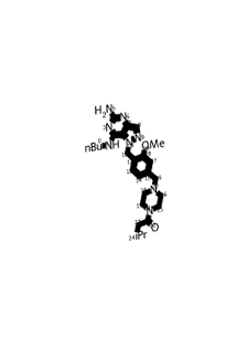 CCCCNc1nc(N)nc2cnn(Cc3ccc(CN4CCN(C(=O)CC(C)C)CC4)cc3OC)c12